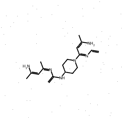 C=C/N=C(\C=C(\C)N)N1CCC(NC(=C)/N=C(C)\C=C(\C)N)CC1